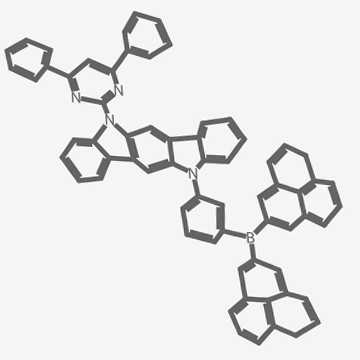 C1=Cc2cc(B(c3cccc(-n4c5ccccc5c5cc6c(cc54)c4ccccc4n6-c4nc(-c5ccccc5)cc(-c5ccccc5)n4)c3)c3cc4c5c(cccc5c3)CC=C4)cc3cccc(c23)C1